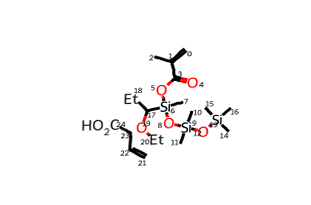 C=C(C)C(=O)O[Si](C)(O[Si](C)(C)O[Si](C)(C)C)C(CC)OCC.C=CCC(=O)O